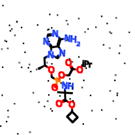 CC(C)OC(=O)COP(=O)(CO[C@@H](C)Cn1cnc2c(N)ncnc21)NC(C)(C)C(=O)OC1CCC1